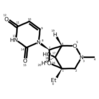 CC[C@@]12CN(C)O[C@@H]([C@H](n3ccc(=O)[nH]c3=O)O1)[C@@H]2O